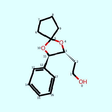 OCC[C@H]1OC2(CCCC2)O[C@@H]1c1ccccc1